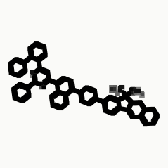 CC1(C)c2cc(-c3ccc(-c4ccc(-c5cc(-c6ccccc6-c6ccccc6)nc(-c6ccccc6)n5)c5ccccc45)cc3)ccc2-c2cc3ccccc3cc21